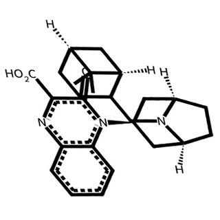 CC1(C)[C@H]2CCC(CN3[C@@H]4CC[C@H]3C[C@@H](n3c(=O)c(C(=O)O)nc5ccccc53)C4)[C@@H]1C2